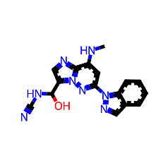 CNc1cc(-n2ncc3ccccc32)nn2c(C(O)NC#N)cnc12